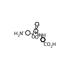 NC[C@H]1CC[C@H](C(=O)N2C[C@@H](N3CCCC3)C[C@H]2C(=O)Nc2ccc(C(=O)O)cc2)CC1